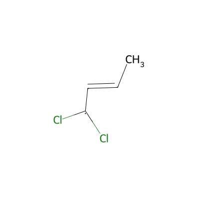 C/C=C/[C](Cl)Cl